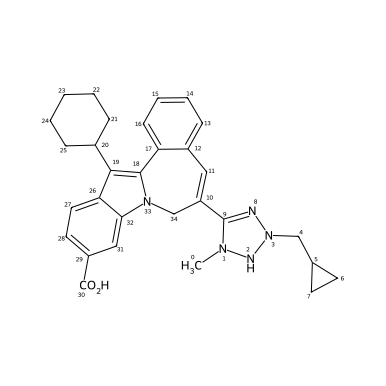 CN1NN(CC2CC2)N=C1C1=Cc2ccccc2-c2c(C3CCCCC3)c3ccc(C(=O)O)cc3n2C1